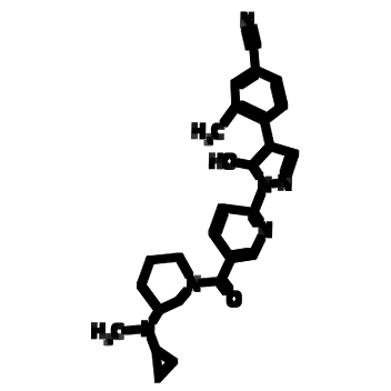 Cc1cc(C#N)ccc1C1C=NN(c2ccc(C(=O)N3CCCC(N(C)C4CC4)C3)cn2)C1O